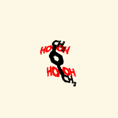 CC(O)(O)c1ccc(C(C)(O)O)cc1